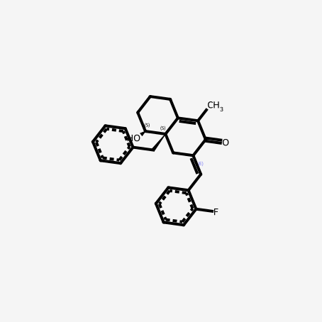 CC1=C2CCC[C@H](O)[C@@]2(Cc2ccccc2)C/C(=C\c2ccccc2F)C1=O